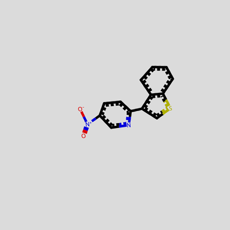 O=[N+]([O-])c1ccc(-c2csc3ccccc23)nc1